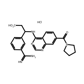 Cl.N=C(N)c1cccc(C(CC(=O)O)Nc2ncnc3cc(C(=O)N4CCCC4)ccc23)c1